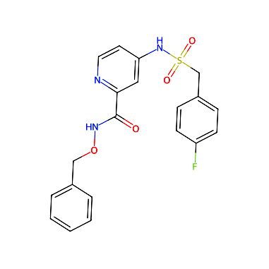 O=C(NOCc1ccccc1)c1cc(NS(=O)(=O)Cc2ccc(F)cc2)ccn1